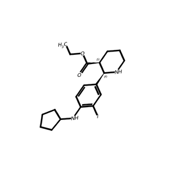 CCOC(=O)[C@H]1CCCN[C@H]1c1ccc(NC2CCCC2)c(I)c1